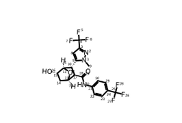 Cn1nc(C(F)(F)F)cc1[C@H]1[C@H]2O[C@H](C[C@@H]2O)[C@@H]1C(=O)Nc1ccc(C(F)(F)F)cc1